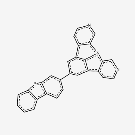 c1ccc2c(c1)sc1cc(-c3cc4c5ccncc5n5c6cnccc6c(c3)c45)ccc12